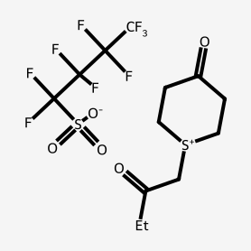 CCC(=O)C[S+]1CCC(=O)CC1.O=S(=O)([O-])C(F)(F)C(F)(F)C(F)(F)C(F)(F)F